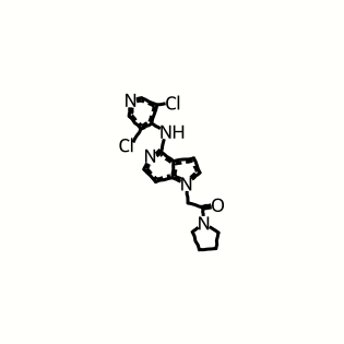 O=C(Cn1ccc2c(Nc3c(Cl)cncc3Cl)nccc21)N1CCCC1